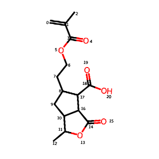 C=C(C)C(=O)OCCC1CC2C(C)OC(=O)C2C1C(=O)O